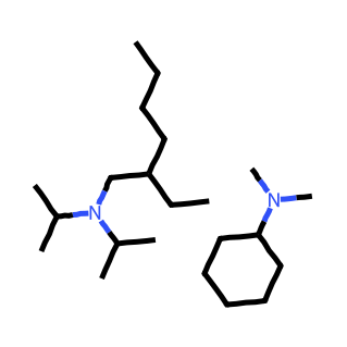 CCCCC(CC)CN(C(C)C)C(C)C.CN(C)C1CCCCC1